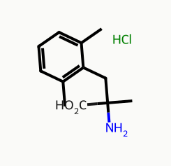 Cc1cccc(C)c1CC(C)(N)C(=O)O.Cl